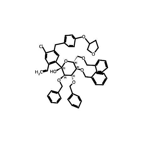 C=Cc1cc(Cl)c(Cc2ccc(OC3CCOC3)cc2)cc1[C@]1(O)O[C@H](COCc2ccccc2)[C@@H](OCc2ccccc2)[C@H](OCc2ccccc2)[C@H]1OCc1ccccc1